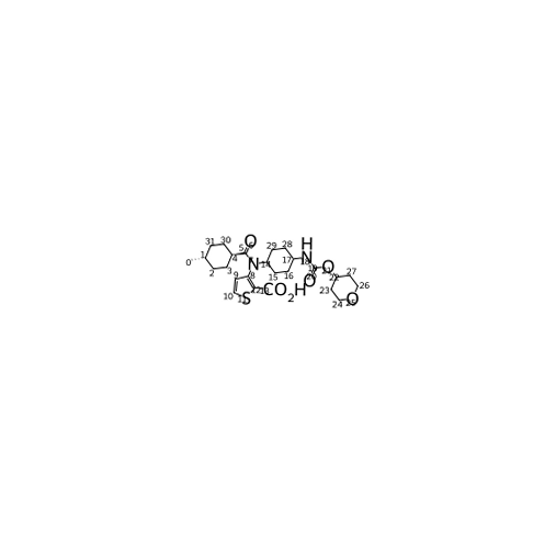 C[C@H]1CC[C@H](C(=O)N(c2ccsc2C(=O)O)C2CCC(NC(=O)OC3CCOCC3)CC2)CC1